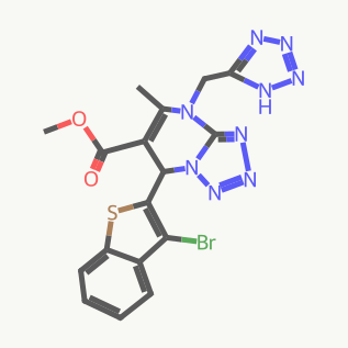 COC(=O)C1=C(C)N(Cc2nnn[nH]2)c2nnnn2C1c1sc2ccccc2c1Br